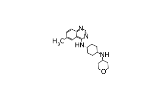 Cc1ccc2ncnc(N[C@H]3CC[C@H](NC4CCOCC4)CC3)c2c1